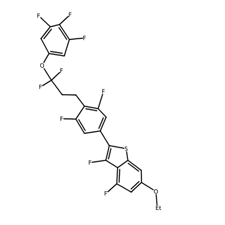 CCOc1cc(F)c2c(F)c(-c3cc(F)c(CCC(F)(F)Oc4cc(F)c(F)c(F)c4)c(F)c3)sc2c1